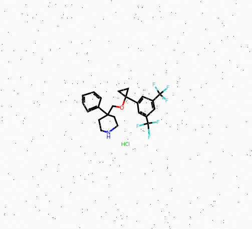 Cl.FC(F)(F)c1cc(C(F)(F)F)cc(C2(OCC3(c4ccccc4)CCNCC3)CC2)c1